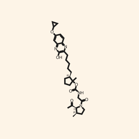 CC(=O)[C@@H]1[C@H](C)CCN1C(=O)CNC(=O)OC1(C)CCC[C@H]1CCCCCc1nc2ccc(OC3CC3)cc2nc1O